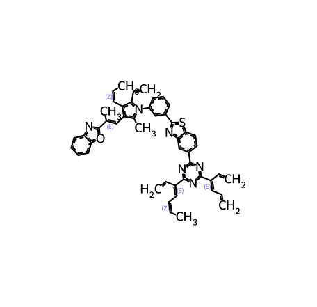 C=C/C=C(\C=C)c1nc(/C(C=C)=C/C=C\C)nc(-c2ccc3sc(-c4cccc(-n5c(C)c(/C=C(\C)c6nc7ccccc7o6)c(/C=C\C)c5C=C)c4)nc3c2)n1